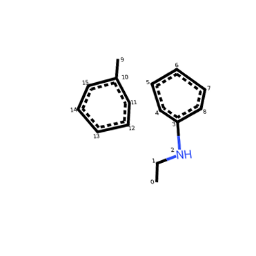 CCNc1ccccc1.Cc1ccccc1